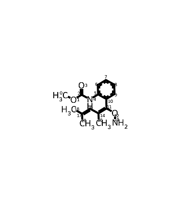 COC(=O)Nc1ccccc1C(ON)=C(C)C=C(C)C